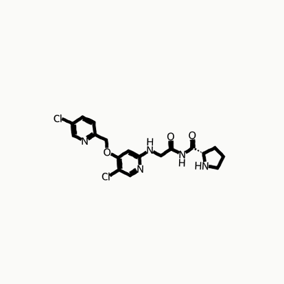 O=C(CNc1cc(OCc2ccc(Cl)cn2)c(Cl)cn1)NC(=O)[C@@H]1CCCN1